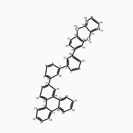 c1cc(-c2cccc(-c3ccc4c5ccccc5c5ccccc5c4c3)c2)cc(-c2ccc3c(c2)Oc2nccnc2O3)c1